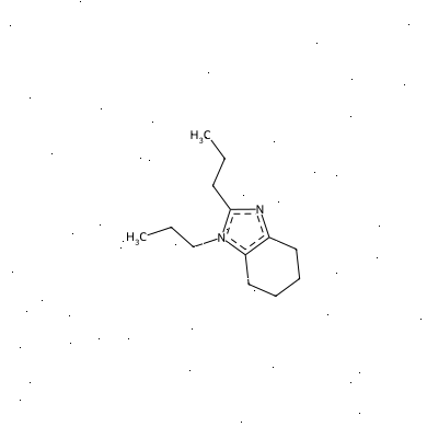 CCCc1nc2c(n1CCC)CCCC2